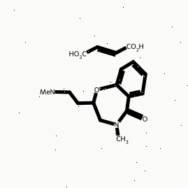 CNCCC1CN(C)C(=O)c2ccccc2O1.O=C(O)/C=C/C(=O)O